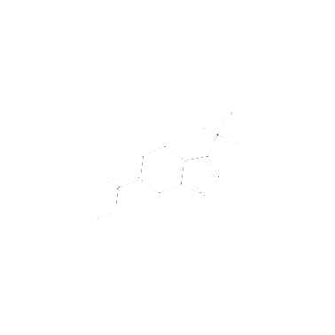 CC(C)(C)OC(=O)N1CCn2c(C(C)(C)O)cnc2C1